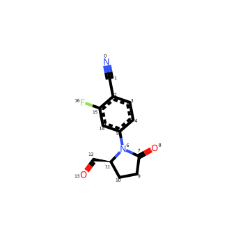 N#Cc1ccc(N2C(=O)CC[C@H]2C=O)cc1F